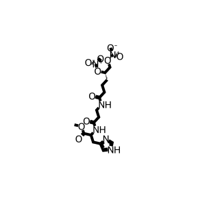 COC(=O)C(Cc1c[nH]cn1)NC(=O)CCNC(=O)CCC[C@@H](CO[N+](=O)[O-])O[N+](=O)[O-]